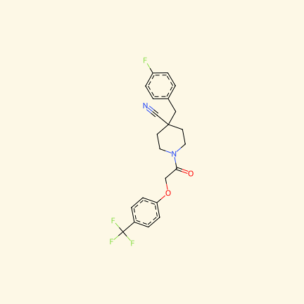 N#CC1(Cc2ccc(F)cc2)CCN(C(=O)COc2ccc(C(F)(F)F)cc2)CC1